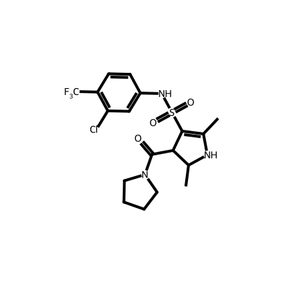 CC1=C(S(=O)(=O)Nc2ccc(C(F)(F)F)c(Cl)c2)C(C(=O)N2CCCC2)C(C)N1